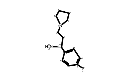 N[C@@H](CCN1CCCC1)c1ccc(F)cc1